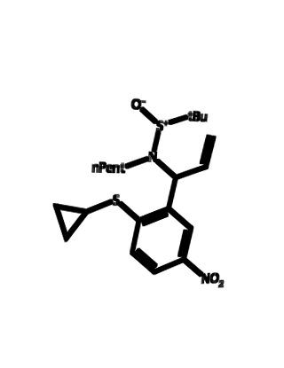 C=CC(c1cc([N+](=O)[O-])ccc1SC1CC1)N(CCCCC)[S+]([O-])C(C)(C)C